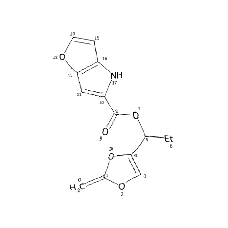 C=C1OC=C(C(CC)OC(=O)c2cc3occc3[nH]2)O1